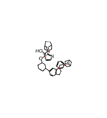 O[C@H](COC1CCCC(c2ccc3c(c2)C(CN2CC4CC(C2)N4c2ccccc2)CC3)C1)CN1C2CCC1CN(c1nccs1)C2